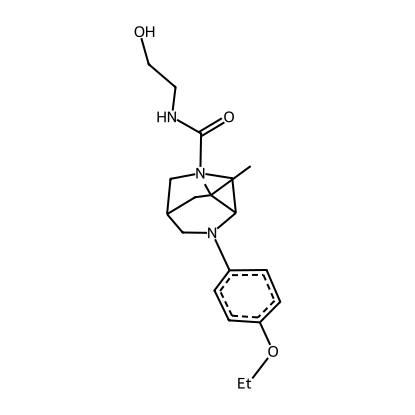 CCOc1ccc(N2CC3CN(C(=O)NCCO)CC2C(C)(C)C3)cc1